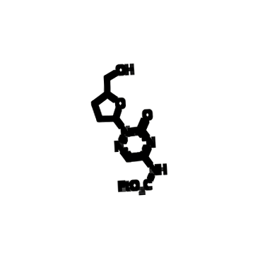 CCOC(=O)Nc1cnn(C2CCC(CO)O2)c(=O)n1